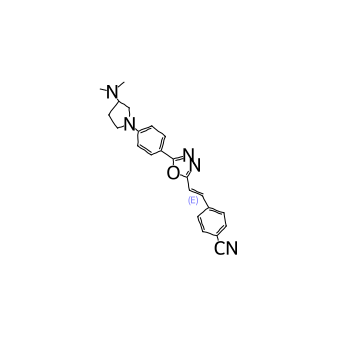 CN(C)C1CCN(c2ccc(-c3nnc(/C=C/c4ccc(C#N)cc4)o3)cc2)C1